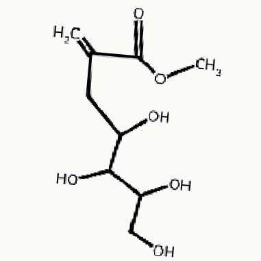 C=C(CC(O)C(O)C(O)CO)C(=O)OC